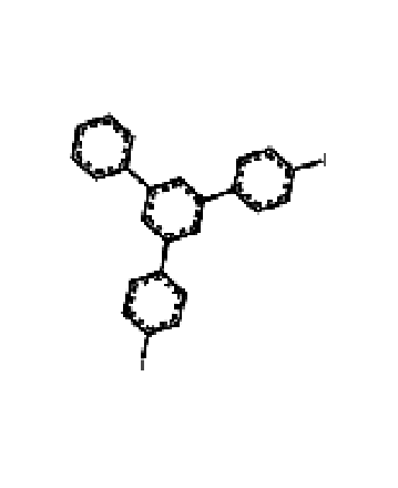 Ic1ccc(-c2cc(-c3ccccc3)cc(-c3ccc(I)cc3)c2)cc1